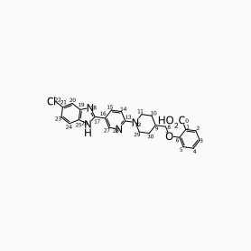 O=C(O)c1ccccc1OCC1CCN(c2ccc(-c3nc4cc(Cl)ccc4[nH]3)cn2)CC1